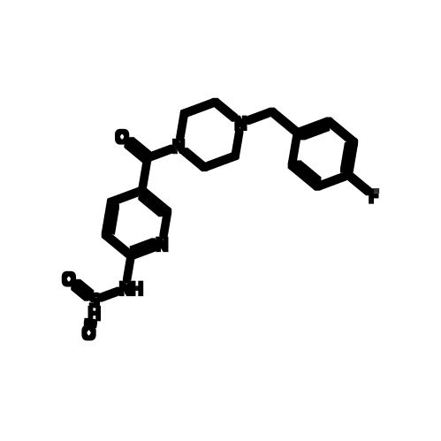 O=C(c1ccc(N[SH](=O)=O)nc1)N1CCN(Cc2ccc(F)cc2)CC1